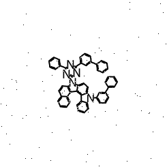 c1ccc(-c2cccc(-c3nc(-c4ccccc4)nc(-n4c5ccc6ccccc6c5c5c6c7ccccc7n(-c7cccc(-c8ccccc8)c7)c6ccc54)n3)c2)cc1